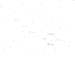 [CH2+][CH-]CCCCCSc1ccc(CC)cc1